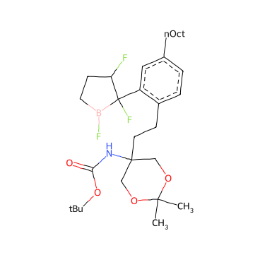 CCCCCCCCc1ccc(CCC2(NC(=O)OC(C)(C)C)COC(C)(C)OC2)c(C2(F)B(F)CCC2F)c1